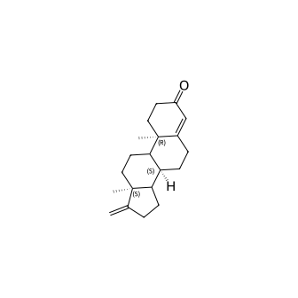 C=C1CCC2[C@@H]3CCC4=CC(=O)CC[C@]4(C)C3CC[C@]12C